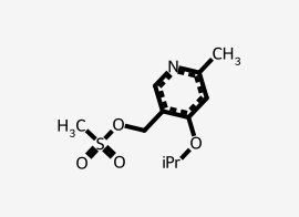 Cc1cc(OC(C)C)c(COS(C)(=O)=O)cn1